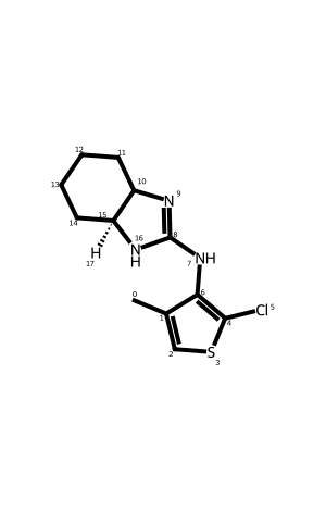 Cc1csc(Cl)c1NC1=NC2CCCC[C@@H]2N1